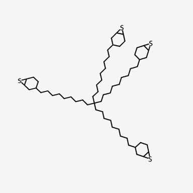 C(CCCCC1CCC2SC2C1)CCCCC(CCCCCCCCCC1CCC2SC2C1)(CCCCCCCCCC1CCC2SC2C1)CCCCCCCCCC1CCC2SC2C1